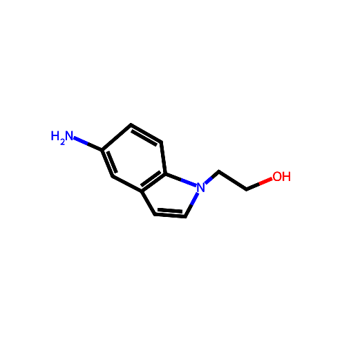 Nc1ccc2c(ccn2CCO)c1